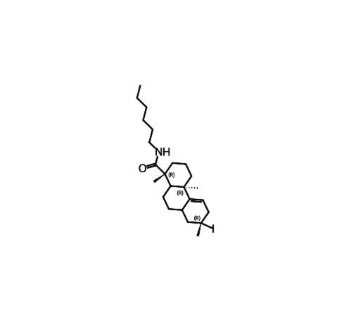 CCCCCCNC(=O)[C@]1(C)CCC[C@@]2(C)C3=CC[C@](C)(I)CC3CCC12